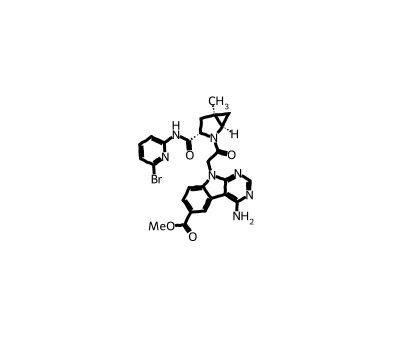 COC(=O)c1ccc2c(c1)c1c(N)ncnc1n2CC(=O)N1[C@H](C(=O)Nc2cccc(Br)n2)C[C@@]2(C)C[C@@H]12